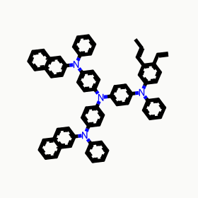 C=Cc1ccc(N(c2ccccc2)c2ccc(N(c3ccc(N(c4ccccc4)c4ccc5ccccc5c4)cc3)c3ccc(N(c4ccccc4)c4ccc5ccccc5c4)cc3)cc2)cc1/C=C/C